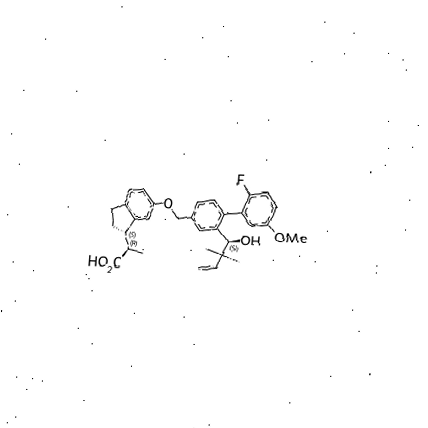 C=CC(C)(C)[C@H](O)c1cc(COc2ccc3c(c2)[C@H]([C@@H](C)C(=O)O)CC3)ccc1-c1cc(OC)ccc1F